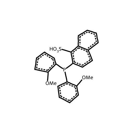 COc1ccccc1P(c1ccccc1OC)c1ccc2ccccc2c1S(=O)(=O)O